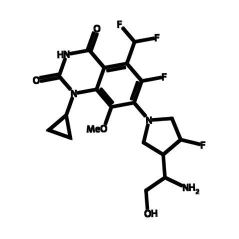 COc1c(N2CC(F)C(C(N)CO)C2)c(F)c(C(F)F)c2c(=O)[nH]c(=O)n(C3CC3)c12